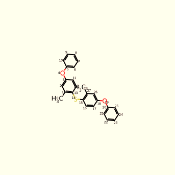 Cc1cc(Oc2ccccc2)ccc1Sc1ccc(Oc2ccccc2)cc1C